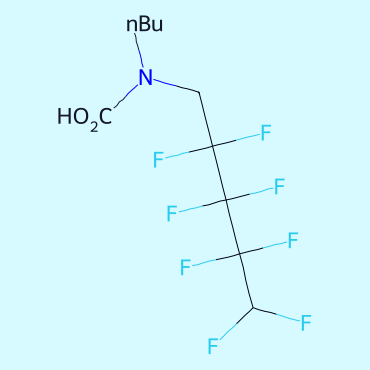 CCCCN(CC(F)(F)C(F)(F)C(F)(F)C(F)F)C(=O)O